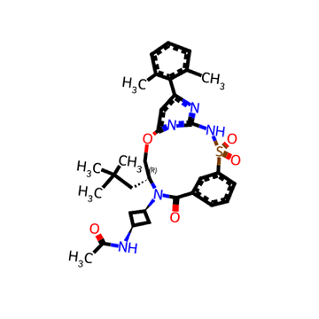 CC(=O)N[C@H]1C[C@@H](N2C(=O)c3cccc(c3)S(=O)(=O)Nc3nc(cc(-c4c(C)cccc4C)n3)OC[C@H]2CC(C)(C)C)C1